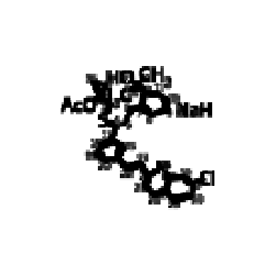 CC(=O)OC1(CS[C@H](CCc2ccccc2C(C)(C)O)c2cccc(/C=C/c3ccc4ccc(Cl)cc4n3)c2)CC1.[NaH]